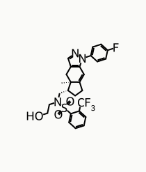 C[C@]12Cc3cnn(-c4ccc(F)cc4)c3C=C1CC[C@@H]2CN(CCO)S(=O)(=O)c1ccccc1C(F)(F)F